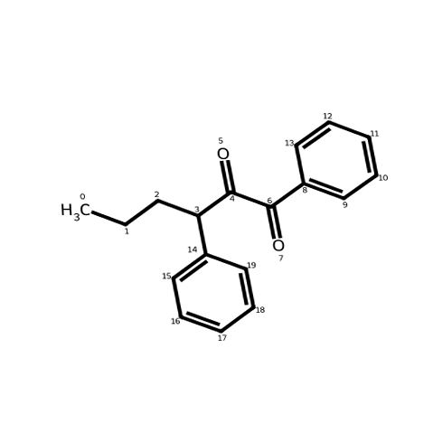 CCCC(C(=O)C(=O)c1ccccc1)c1ccccc1